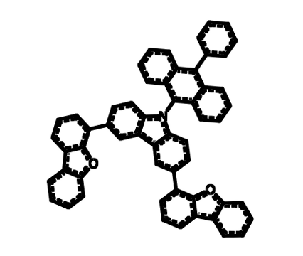 c1ccc(-c2c3ccccc3c(-n3c4ccc(-c5cccc6c5oc5ccccc56)cc4c4cc(-c5cccc6c5oc5ccccc56)ccc43)c3ccccc23)cc1